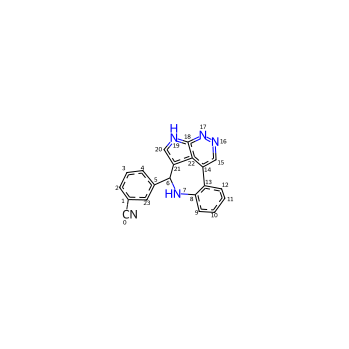 N#Cc1cccc(C2Nc3ccccc3-c3cnnc4[nH]cc2c34)c1